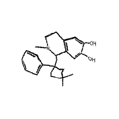 CN1CCc2cc(O)c(O)cc2C1C1(c2ccccc2)CC(C)(C)C1